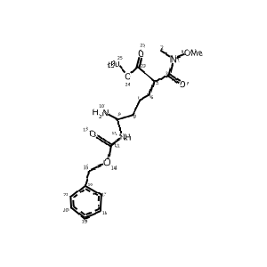 CON(C)C(=O)C(CCCC(N)NC(=O)OCc1ccccc1)C(=O)OC(C)(C)C